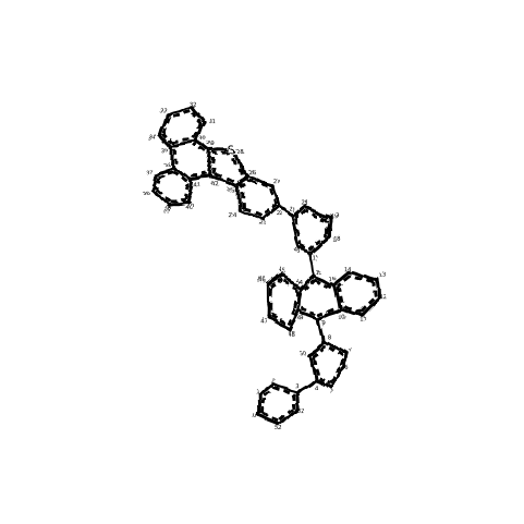 c1ccc(-c2cccc(-c3c4ccccc4c(-c4cccc(-c5ccc6c(c5)sc5c7ccccc7c7ccccc7c65)c4)c4ccccc34)c2)cc1